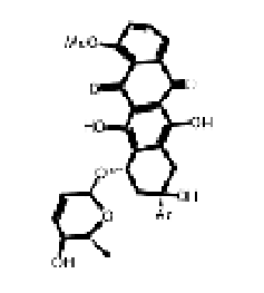 COc1cccc2c1C(=O)c1c(O)c3c(c(O)c1C2=O)C[C@@](O)(C(C)=O)C[C@@H]3O[C@@H]1C=CC(O)[C@H](C)O1